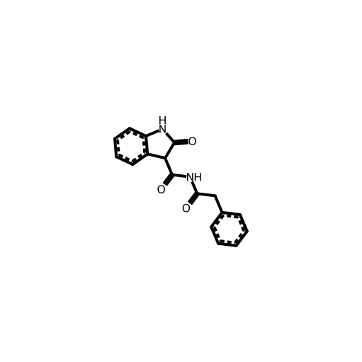 O=C(Cc1ccccc1)NC(=O)C1C(=O)Nc2ccccc21